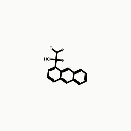 OC(F)(c1cccc2cc3ccccc3cc12)C(F)F